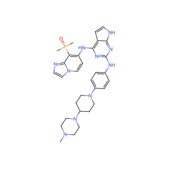 CN1CCN(C2CCN(c3ccc(Nc4nc(Nc5ccn6ccnc6c5P(C)(C)=O)c5cc[nH]c5n4)cc3)CC2)CC1